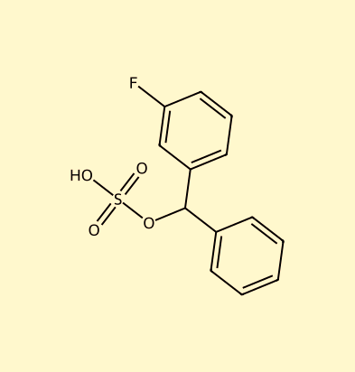 O=S(=O)(O)OC(c1ccccc1)c1cccc(F)c1